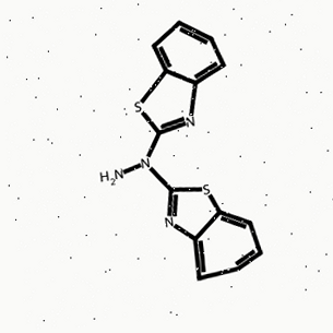 NN(c1nc2ccccc2s1)c1nc2ccccc2s1